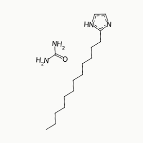 CCCCCCCCCCCCc1ncc[nH]1.NC(N)=O